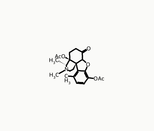 CC(=O)Oc1ccc(C)c2c1OC1C(=O)CC[C@@]3(OC(C)=O)[C@@H](C)N(C)CC[C@]213